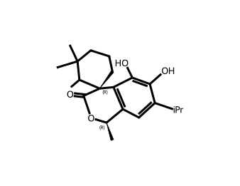 CC(C)c1cc2c(c(O)c1O)[C@]1(CCCC(C)(C)C1C)C(=O)O[C@@H]2C